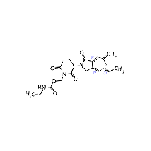 C=C(F)/C=C1/C(=O)N(C2CCC(=O)N(COC(=O)NCC)C2=O)C/C1=C/C=C/C